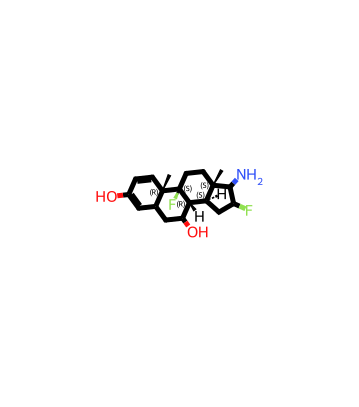 C[C@]12C=CC(O)=CC1CC(O)[C@H]1[C@@H]3CC(F)C(N)[C@@]3(C)CC[C@]12F